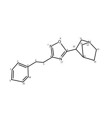 c1ccc(CCc2noc(C3CN4CCC3C4)n2)cc1